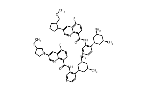 COC1CCN(c2cnc3c(C(=O)Nc4cnccc4[C@@H]4C[C@H](C)C[C@H](N)C4)ccc(F)c3c2)C1.COCC1CCCN1c1cnc2c(C(=O)Nc3cnccc3[C@@H]3C[C@H](C)C[C@H](N)C3)ccc(F)c2c1